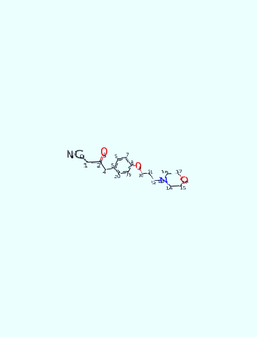 N#CCC(=O)Cc1ccc(OCCCN2CCOCC2)cc1